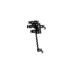 CCCCCCCCCCCCCC[C@@H](O)[C@@H](O)[C@H](CO[C@H]1O[C@H](CO)[C@H](O)[C@H](O)[C@H]1O)NC(=O)CCC